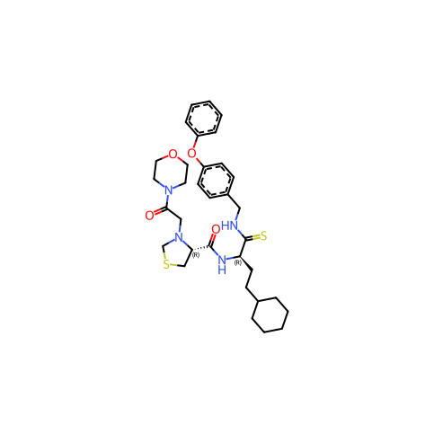 O=C(N[C@H](CCC1CCCCC1)C(=S)NCc1ccc(Oc2ccccc2)cc1)[C@@H]1CSCN1CC(=O)N1CCOCC1